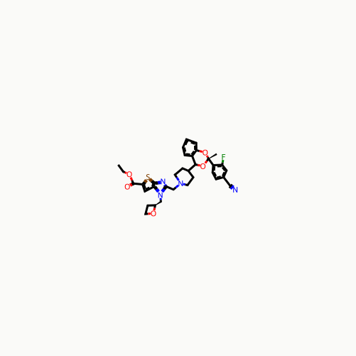 CCOC(=O)c1cc2c(nc(CN3CCC(C4O[C@@](C)(c5ccc(C#N)cc5F)Oc5ccccc54)CC3)n2C[C@@H]2CCO2)s1